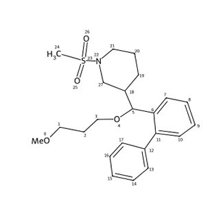 COCCCOC(c1ccccc1-c1ccccc1)C1CCCN(S(C)(=O)=O)C1